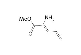 C=C/C=C(\N)C(=O)OC